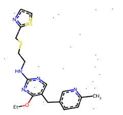 CCOc1nc(NCCSCc2nccs2)ncc1Cc1ccc(C)nc1